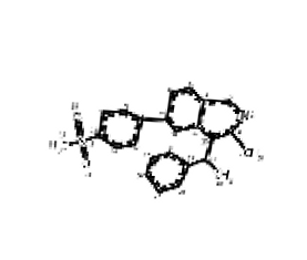 Cc1ncc2ccc(-c3ccc(S(C)(=O)=O)cc3)cc2c1C(C)c1ccccc1